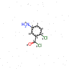 Nc1ccc(Cl)c(C(=O)Cl)c1